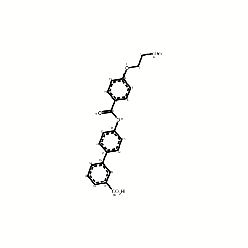 CCCCCCCCCCCCOc1ccc(C(=O)Oc2ccc(-c3cccc(C(=O)O)c3)cc2)cc1